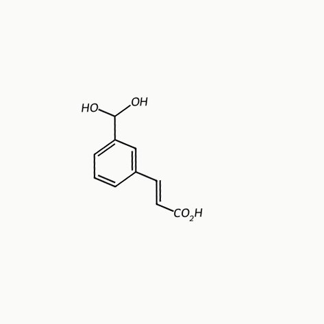 O=C(O)/C=C/c1cccc(C(O)O)c1